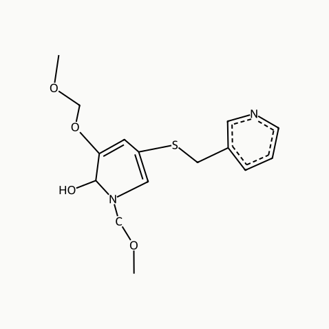 COCOC1=CC(SCc2cccnc2)=CN(COC)C1O